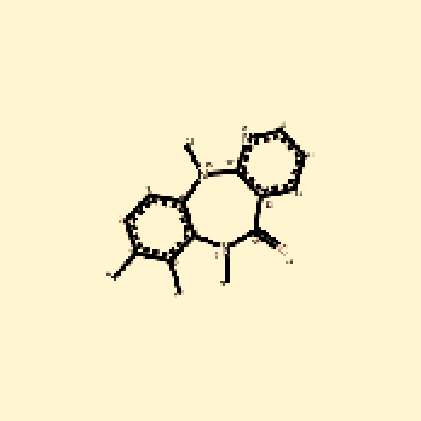 Cc1ccc2c(c1C)N(C)C(=O)c1cccnc1N2C